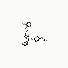 COc1ccc(CCC2(Cn3ccnc3)OCC(COCc3ccccc3Cl)O2)cc1